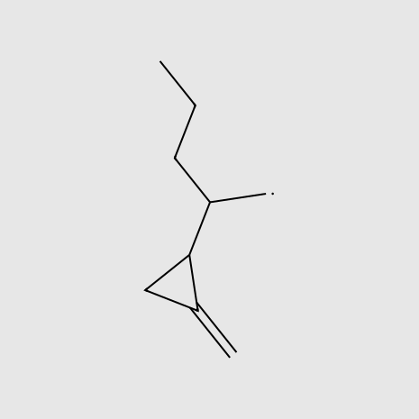 [CH2]C(CCC)C1CC1=C